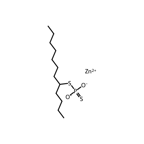 CCCCCCCC(CCCC)SP([O-])([O-])=S.[Zn+2]